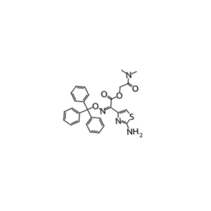 CN(C)C(=O)COC(=O)C(=NOC(c1ccccc1)(c1ccccc1)c1ccccc1)c1csc(N)n1